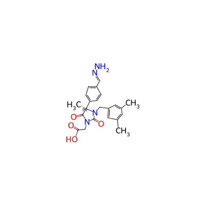 Cc1cc(C)cc(CN2C(=O)N(CC(=O)O)C(=O)[C@@]2(C)c2ccc(C=NN)cc2)c1